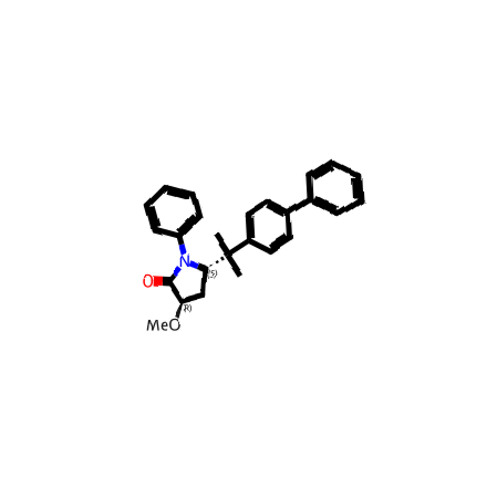 CO[C@@H]1C[C@@H](C(C)(C)c2ccc(-c3ccccc3)cc2)N(c2ccccc2)C1=O